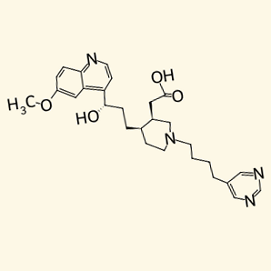 COc1ccc2nccc([C@@H](O)CC[C@@H]3CCN(CCCCc4cncnc4)C[C@@H]3CC(=O)O)c2c1